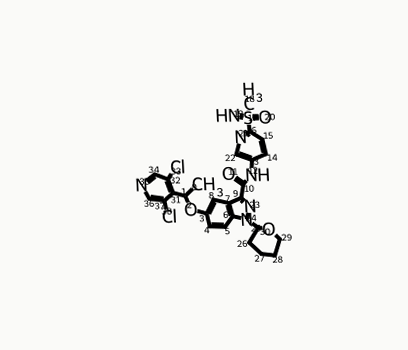 CC(Oc1ccc2c(c1)c(C(=O)Nc1ccc(S(C)(=N)=O)nc1)nn2C1CCCCO1)c1c(Cl)cncc1Cl